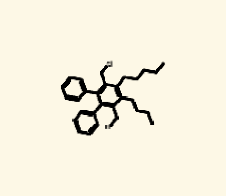 CCCCCc1c(CCCC)c(CCl)c(-c2ccccc2)c(-c2ccccc2)c1CCl